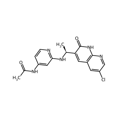 CC(=O)Nc1ccnc(N[C@@H](C)c2cc3cc(Cl)cnc3[nH]c2=O)c1